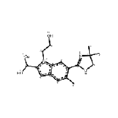 CCCCC(O)c1cc2cc(C)c(C3=NC(C)(C)CO3)cc2n1CCO